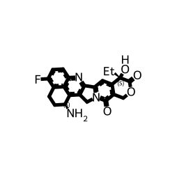 CC[C@@]1(O)C(=O)OCc2c1cc1n(c2=O)Cc2c-1nc1ccc(F)c3c1c2[C@@H](N)CC3